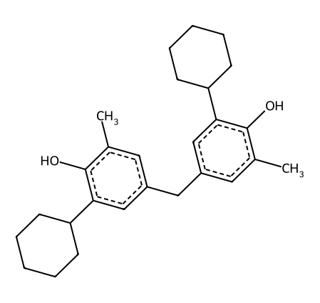 Cc1cc(Cc2cc(C)c(O)c(C3CCCCC3)c2)cc(C2CCCCC2)c1O